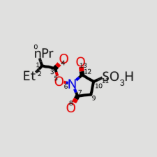 CCCC(CC)C(=O)ON1C(=O)CC(S(=O)(=O)O)C1=O